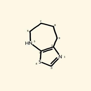 [c]1nc2c(s1)NCCCC2